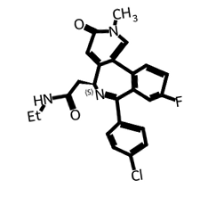 CCNC(=O)C[C@@H]1N=C(c2ccc(Cl)cc2)c2cc(F)ccc2-c2cn(C)c(=O)cc21